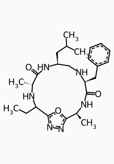 CCC1N[C@H](C)C(=O)N[C@@H](CC(C)C)CN[C@@H](Cc2ccccc2)C(=O)N[C@@H](C)c2nnc1o2